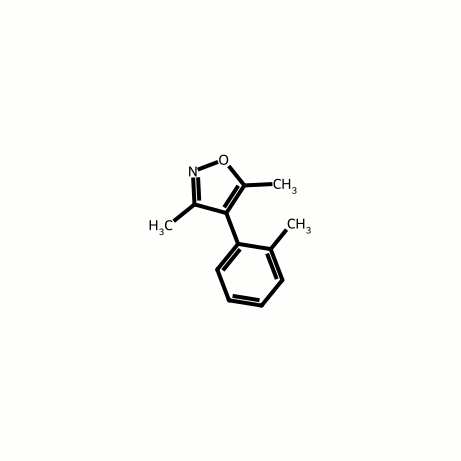 Cc1ccccc1-c1c(C)noc1C